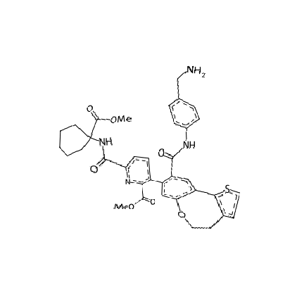 COC(=O)c1nc(C(=O)NC2(C(=O)OC)CCCCC2)ccc1-c1cc2c(cc1C(=O)Nc1ccc(CN)cc1)-c1sccc1CCO2